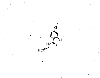 C#CCNC(=O)c1ccc(Cl)cc1Cl